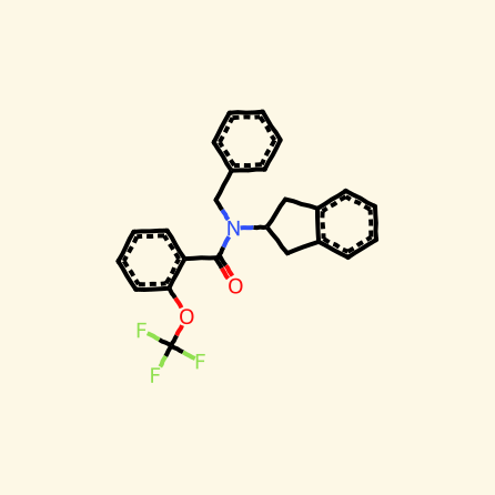 O=C(c1ccccc1OC(F)(F)F)N(Cc1ccccc1)C1Cc2ccccc2C1